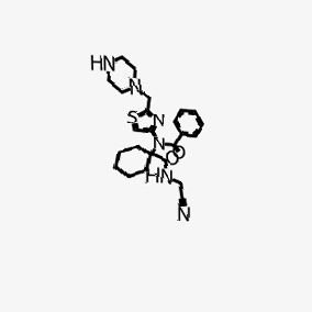 N#CCNC(=O)C1(N(C(=O)c2ccccc2)c2csc(CN3CCNCC3)n2)CCCCC1